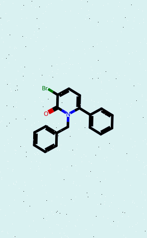 O=c1c(Br)ccc(-c2ccccc2)n1Cc1ccccc1